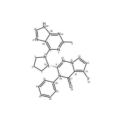 Cc1nc(N2CCC[C@H]2c2nn3ccc(F)c3c(=O)n2-c2ccccc2)c2nc[nH]c2n1